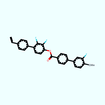 C=Cc1ccc(-c2ccc(OC(=O)c3ccc(-c4ccc(OC)c(F)c4)cc3)c(F)c2F)cc1